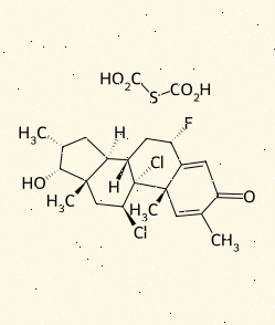 CC1=C[C@@]2(C)C(=CC1=O)[C@@H](F)C[C@H]1[C@@H]3C[C@@H](C)[C@@H](O)[C@@]3(C)C[C@H](Cl)[C@@]12Cl.O=C(O)SC(=O)O